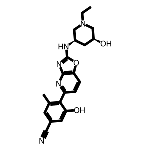 CCN1C[C@@H](O)C[C@@H](Nc2nc3nc(-c4c(C)cc(C#N)cc4O)ccc3o2)C1